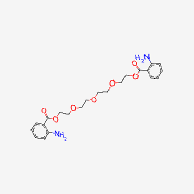 Nc1ccccc1C(=O)OCCOCCOCCOCCOC(=O)c1ccccc1N